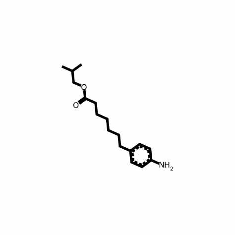 CC(C)COC(=O)CCCCCCc1ccc(N)cc1